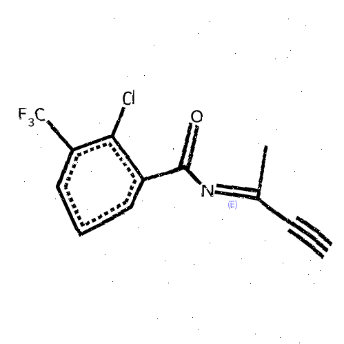 C#C/C(C)=N/C(=O)c1cccc(C(F)(F)F)c1Cl